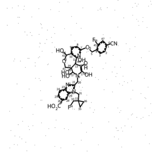 N#Cc1ccc(COc2ccc3c(n2)[C@@]2(O)C(O)=C(O)N(Cc4nc5ccc(C(=O)O)cc5n4CC4(CF)CC4)C(O)[C@]2(O)COC3O)c(F)c1